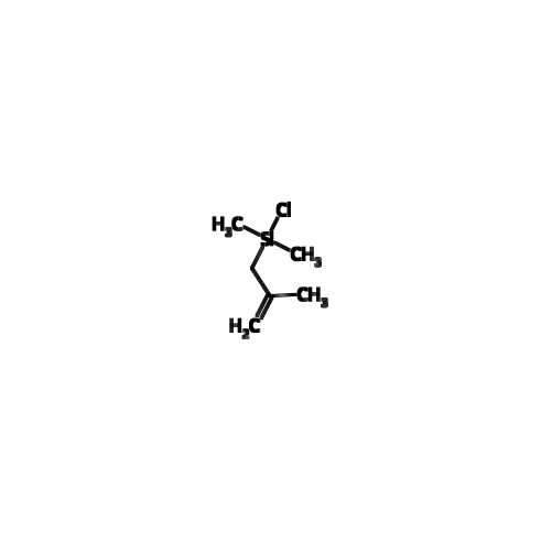 C=C(C)C[Si](C)(C)Cl